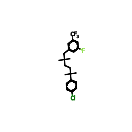 CC(C)(CCC(C)(C)c1ccc(Cl)cc1)Cc1cc(F)cc(C(F)(F)F)c1